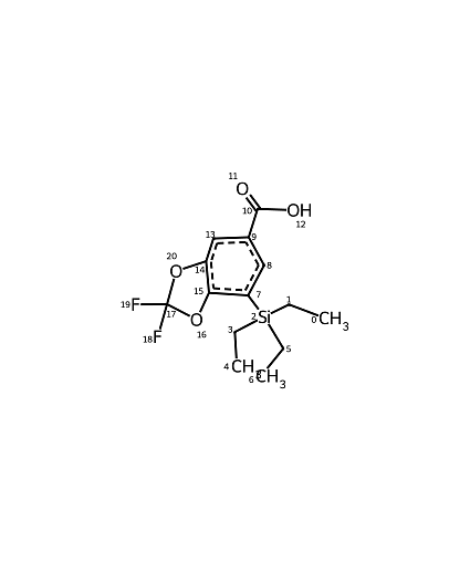 CC[Si](CC)(CC)c1cc(C(=O)O)cc2c1OC(F)(F)O2